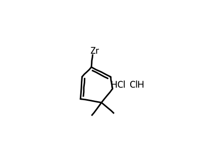 CC1(C)C=C[C]([Zr])=CC1.Cl.Cl